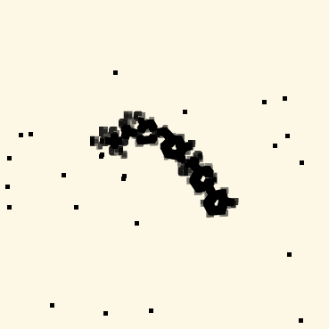 C[C@H]1CN(Cc2ccc(N(C)C(=O)c3ccc(-c4cccc(F)c4)nc3)c(F)c2)CCN1C(=O)OC(C)(C)C